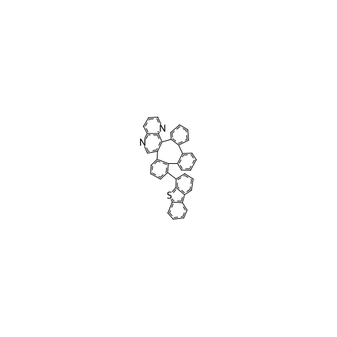 c1ccc2c(c1)-c1ccccc1-c1c(cnc3cccnc13)-c1cccc(-c3cccc4c3sc3ccccc34)c1-2